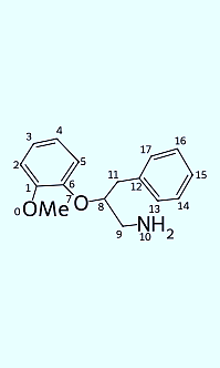 COc1ccccc1OC(CN)Cc1ccccc1